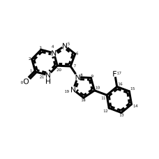 O=c1ccn2ncc(-n3cc(-c4ccccc4F)cn3)c2[nH]1